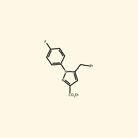 CCOC(=O)c1cc(CC(C)C)n(-c2ccc(F)cc2)n1